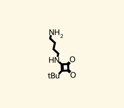 CC(C)(C)c1c(NCCCCN)c(=O)c1=O